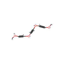 COC#COC#COC#COC